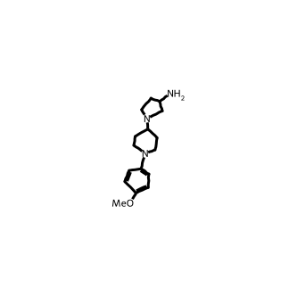 COc1ccc(N2CCC(N3CCC(N)C3)CC2)cc1